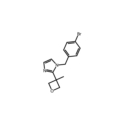 CC1(c2nccn2Cc2ccc(Br)cc2)COC1